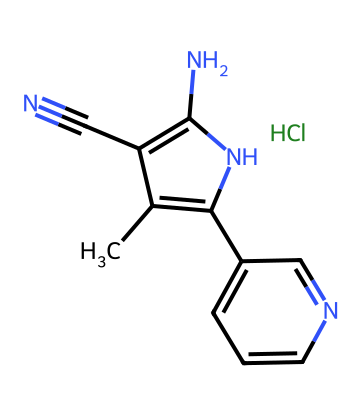 Cc1c(-c2cccnc2)[nH]c(N)c1C#N.Cl